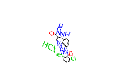 Cl.O=C(Nc1cccc2c1ncc1c(=O)[nH][nH]c12)c1c(Cl)cccc1Cl